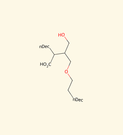 CCCCCCCCCCCCOCC(CO)C(CCCCCCCCCC)C(=O)O